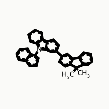 CC1(C)c2ccccc2-c2cc(-c3ccc4c5ccccc5n(-c5cccc6ccccc56)c4c3)ccc21